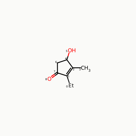 CCC1=C(C)C(O)CC1=O